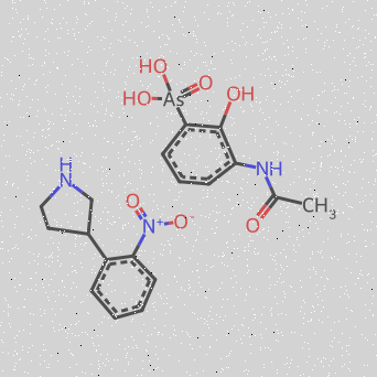 CC(=O)Nc1cccc([As](=O)(O)O)c1O.O=[N+]([O-])c1ccccc1C1CCNC1